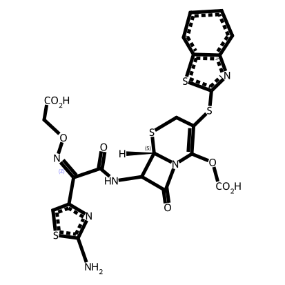 Nc1nc(/C(=N/OCC(=O)O)C(=O)NC2C(=O)N3C(OC(=O)O)=C(Sc4nc5ccccc5s4)CS[C@@H]23)cs1